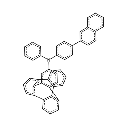 c1ccc(N(c2ccc(-c3ccc4ccccc4c3)cc2)c2ccc3c(c2)-c2c4cccc2-c2cccc-3c2-c2ccccc2-4)cc1